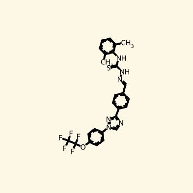 Cc1cccc(C)c1NC(=S)N/N=C/c1ccc(-c2ncn(-c3ccc(OC(F)(F)C(F)(F)F)cc3)n2)cc1